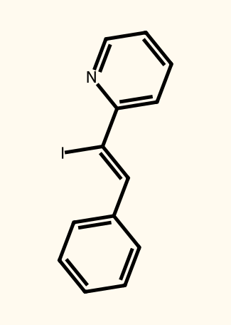 I/C(=C\c1ccccc1)c1ccccn1